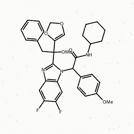 COc1ccc(C(C(=O)NC2CCCCC2)n2c(C(Cc3ccccc3)(OC)C3=COCO3)nc3cc(F)c(F)cc32)cc1